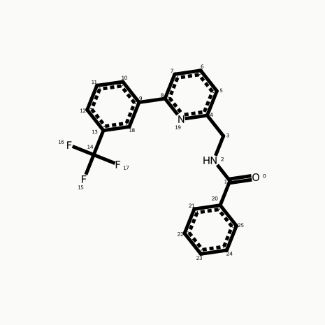 O=C(NCc1cccc(-c2cccc(C(F)(F)F)c2)n1)c1ccccc1